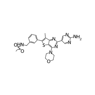 Cc1c(-c2cccc(CNS(C)(=O)=O)c2)sc2c(N3CCOCC3)nc(-c3cnc(N)nc3)nc12